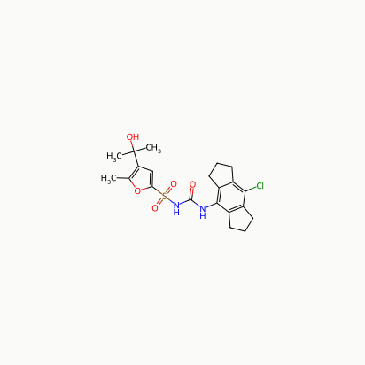 Cc1oc(S(=O)(=O)NC(=O)Nc2c3c(c(Cl)c4c2CCC4)CCC3)cc1C(C)(C)O